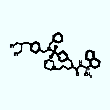 CC(C)CC(Cc1ccc(CN(Cc2ccccc2)S(=O)(=O)c2ccc(CN(CCCN3CCOCC3)C(=O)N[C@@H](C)c3cccc4ccccc34)cc2)cc1)CC(C)C